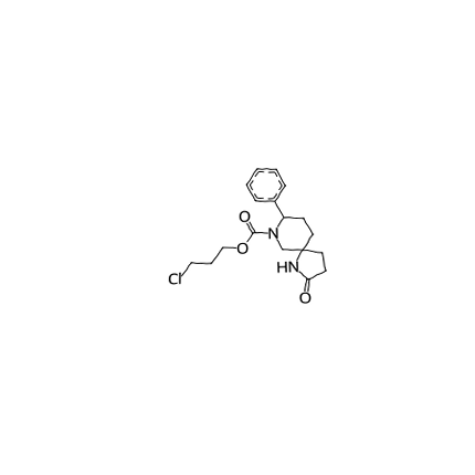 O=C1CCC2(CCC(c3ccccc3)N(C(=O)OCCCCl)C2)N1